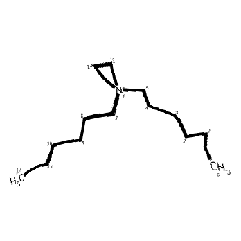 CCCCCC[N+]1(CCCCCC)CC1